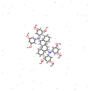 COc1cc(OC)cc(N(c2cc(OC)cc(OC)c2)c2cc3c4ccccc4c(N(c4cc(OC)cc(OC)c4)c4cc(OC)cc(OC)c4)cc3c3ccccc23)c1